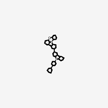 c1ccc(-c2ccc(-n3c4ccccc4c4cc(-c5ccc6c(c5)c5cccc7c5n6-c5ccccc5O7)ccc43)cc2)cc1